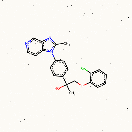 Cc1nc2cnccc2n1-c1ccc(C(C)(O)COc2ccccc2Cl)cc1